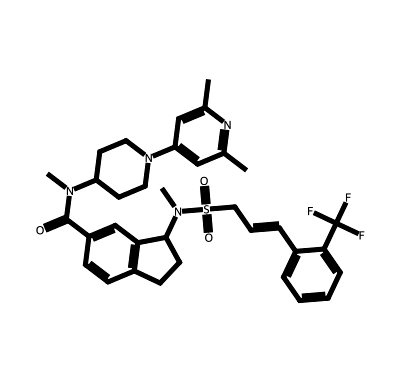 Cc1cc(N2CCC(N(C)C(=O)c3ccc4c(c3)C(N(C)S(=O)(=O)CC=Cc3ccccc3C(F)(F)F)CC4)CC2)cc(C)n1